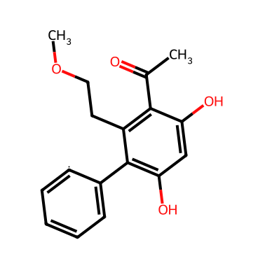 COCCc1c(C(C)=O)c(O)cc(O)c1-c1[c]cccc1